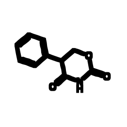 O=C1NC(=O)C(c2ccccc2)CO1